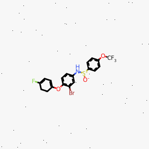 [O-][S+](Nc1ccc(OC2=CC=C(F)CC2)c(Br)c1)c1ccc(OC(F)(F)F)cc1